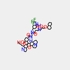 CCCCC1CC2=C(C3CC(C(=O)NCCN(CC4CCC(/N=C\C(F)(F)F)CC4)C(=O)CCNCC(O)COC4CCCC5CCCCC54)CCC3C(=O)O)C3CC4CCCCN5CCCC(C3OC2C2CCCN=C12)C45